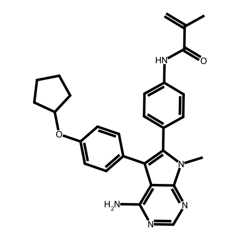 C=C(C)C(=O)Nc1ccc(-c2c(-c3ccc(OC4CCCC4)cc3)c3c(N)ncnc3n2C)cc1